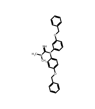 CN(C)C(=N)N(c1ccc(OCc2ccccc2)cc1)c1cccc(OCc2ccccc2)c1